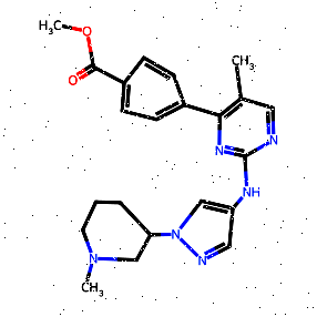 COC(=O)c1ccc(-c2nc(Nc3cnn(C4CCCN(C)C4)c3)ncc2C)cc1